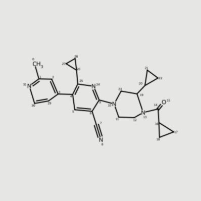 Cc1cc(-c2cc(C#N)c(N3CCN(C(=O)C4CC4)C(C4CC4)C3)nc2C2CC2)ccn1